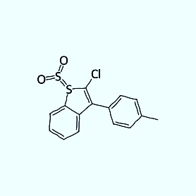 Cc1ccc(C2=C(Cl)S(=S(=O)=O)c3ccccc32)cc1